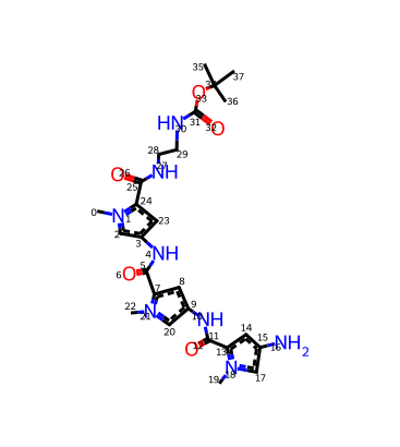 Cn1cc(NC(=O)c2cc(NC(=O)c3cc(N)cn3C)cn2C)cc1C(=O)NCCNC(=O)OC(C)(C)C